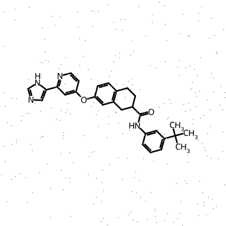 CC(C)(C)c1cccc(NC(=O)C2CCc3ccc(Oc4ccnc(-c5cnc[nH]5)c4)cc3C2)c1